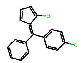 ClC1=CC=CC1=C(c1ccccc1)c1ccc(Cl)cc1